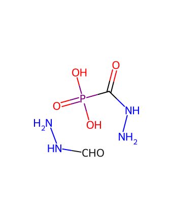 NNC(=O)P(=O)(O)O.NNC=O